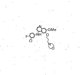 COc1cc2nccc(Nc3ccc(F)c(Cl)c3)c2cc1OCCCN1CCOCC1